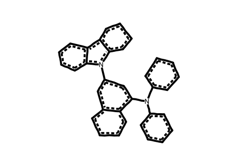 c1ccc(N(c2ccccc2)c2cc(-n3c4ccccc4c4ccccc43)cc3ccccc23)cc1